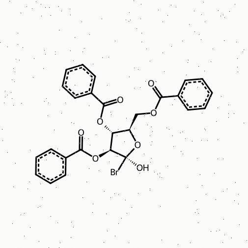 O=C(OC[C@H]1O[C@@](O)(Br)[C@@H](OC(=O)c2ccccc2)[C@@H]1OC(=O)c1ccccc1)c1ccccc1